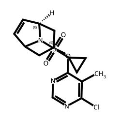 Cc1c(Cl)ncnc1O[C@H]1CC2C=C[C@@H](C1)N2S(=O)(=O)C1CC1